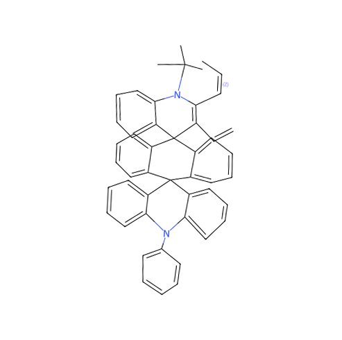 C=CC1=C(/C=C\C)N(C(C)(C)C)c2ccccc2C12c1ccccc1C1(c3ccccc3N(c3ccccc3)c3ccccc31)c1ccccc12